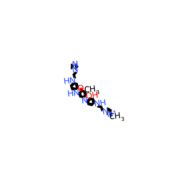 CC1=C(O)/C(=N\c2ccc(NCCCn3cc[n+](C)c3)cc2)C=C(Nc2ccc(NCCCn3ccnc3)cc2)C1=O